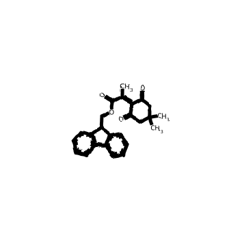 CC(C(=O)OCC1c2ccccc2-c2ccccc21)=C1C(=O)CC(C)(C)CC1=O